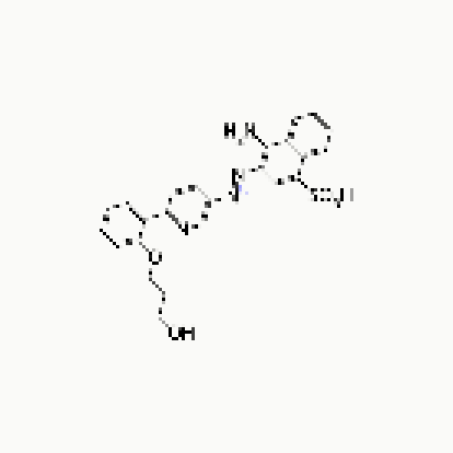 Nc1c(/N=N/c2ccc(-c3ccccc3OCCCO)nc2)cc(S(=O)(=O)O)c2ccccc12